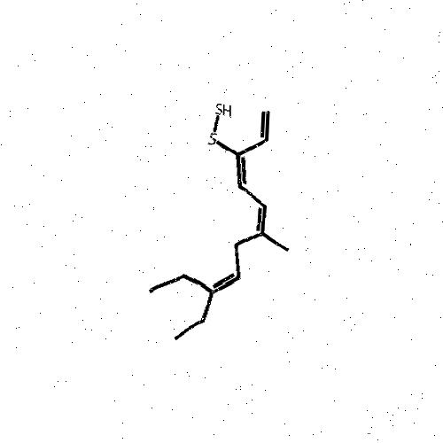 C=C/C(=C\C=C(\C)CC=C(CC)CC)SS